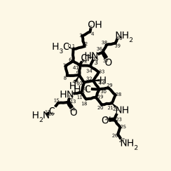 C[C@H](CCCO)C1CC[C@H]2C3C(NC(=O)CCN)CC4C[C@H](NC(=O)CCN)CCC4(C)[C@H]3CC(NC(=O)CCN)C12C